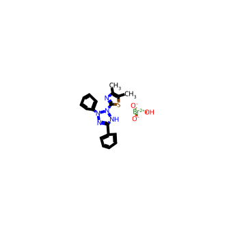 Cc1nc(N2NC(c3ccccc3)=NN2c2ccccc2)sc1C.[O-][Br+2]([O-])O